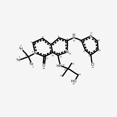 [2H]C([2H])([2H])n1ccc2cc(Nc3cc(Cl)ccn3)nc(NC(C)(C)CO)c2c1=O